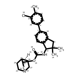 Cc1ccc(-c2ccc3c(c2)CC(C)(C)C3NC(=O)O[C@H]2CN3CCC2CC3)cc1Cl